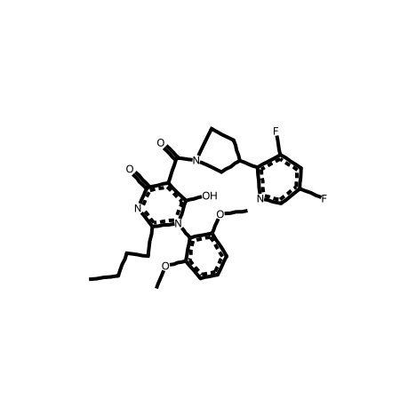 CCCCc1nc(=O)c(C(=O)N2CCC(c3ncc(F)cc3F)C2)c(O)n1-c1c(OC)cccc1OC